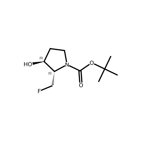 CC(C)(C)OC(=O)N1CC[C@H](O)[C@H]1CF